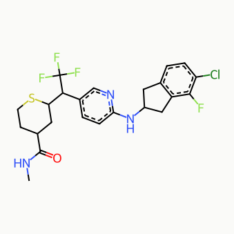 CNC(=O)C1CCSC(C(c2ccc(NC3Cc4ccc(Cl)c(F)c4C3)nc2)C(F)(F)F)C1